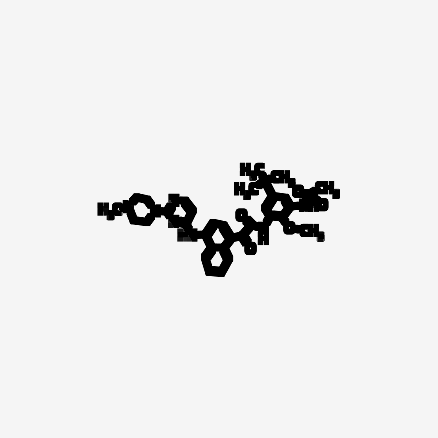 COc1c(NC(=O)C(=O)c2ccc(Nc3ccnc(N4CCN(C)CC4)n3)c3ccccc23)cc(C(C)(C)C)cc1NS(C)(=O)=O